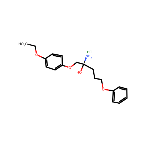 Cl.N[C@](O)(CCCOc1ccccc1)COc1ccc(OCC(=O)O)cc1